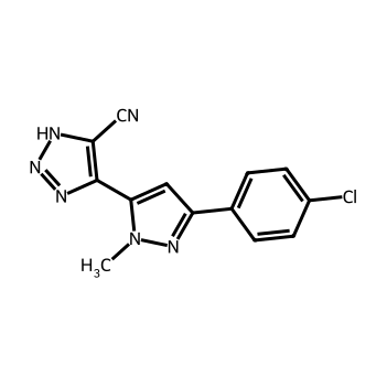 Cn1nc(-c2ccc(Cl)cc2)cc1-c1nn[nH]c1C#N